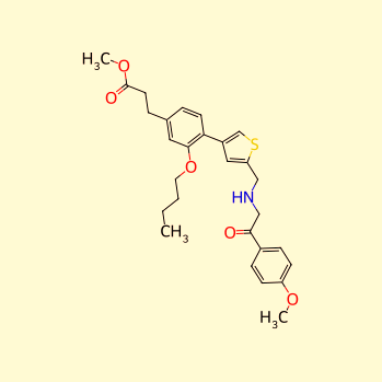 CCCCOc1cc(CCC(=O)OC)ccc1-c1csc(CNCC(=O)c2ccc(OC)cc2)c1